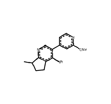 COc1cc(-c2cnc3c(c2C(C)C)CCC3C)ccn1